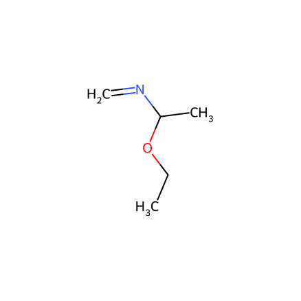 C=NC(C)OCC